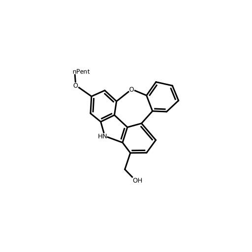 CCCCCOc1cc2[nH]c3c(CO)ccc4c5ccccc5oc(c1)c2c34